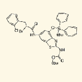 CC(C)(C)OC(=O)Nc1nc2c(O[Si](c3ccccc3)(c3ccccc3)C(C)(C)C)cc(NC(=O)C(Br)Cc3ccccc3Cl)cc2s1